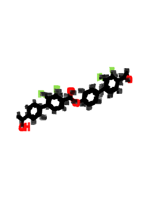 CC(O)c1ccc(-c2ccc(C(=O)Oc3ccc(-c4ccc(C5CO5)c(F)c4F)cc3)c(F)c2F)cc1